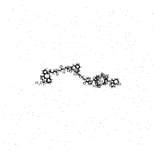 CC(C)(I)n1nnc2c1-c1ccccc1CN(C(=O)CCC(=O)NCC(=O)NCC(=O)N[C@@H](Cc1ccccc1)C(=O)NCC(=O)NCOCCn1cnc3c(ncn3[C@@H]3O[C@@H]4COP(=O)(S)O[C@H]5[C@@H](F)[C@H](n6cc7c8c(ncnc86)NCCC7)O[C@@H]5COP(=O)(S)O[C@@H]3[C@@H]4O)c1=O)c1ccccc1-2